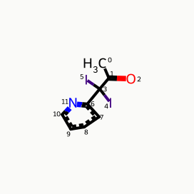 CC(=O)C(I)(I)c1ccccn1